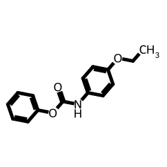 CCOc1ccc(NC(=O)Oc2ccccc2)cc1